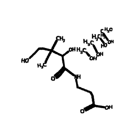 CC(C)(CO)C(O)C(=O)NCCC(=O)O.CO.CO.CO.CO.O